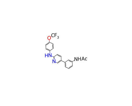 CC(=O)Nc1cccc(-c2ccc(Nc3ccc(OC(F)(F)F)cc3)nc2)c1